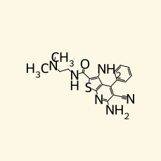 CN(C)CCNC(=O)c1sc2nc(N)c(C#N)c(-c3ccccc3)c2c1N